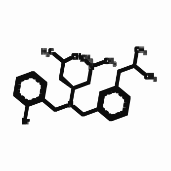 CC(C)Cc1cccc(CN(Cc2ccccc2Br)[C@@H](CC(C)C)CN(C)C)c1